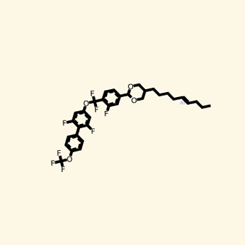 CCC/C=C/CCCCC1COC(c2ccc(C(F)(F)Oc3cc(F)c(-c4ccc(OC(F)(F)F)cc4)c(F)c3)c(F)c2)OC1